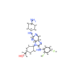 CC(C)(O)[C@H]1CC[C@@H](n2c(Nc3ccc(F)cc3F)nc3cnc(N[C@H]4CC[C@H](N)CC4)nc32)CC1